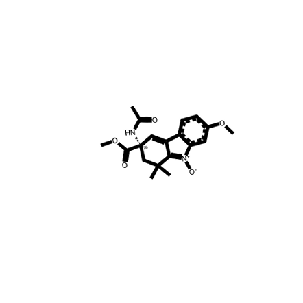 COC(=O)[C@@]1(NC(C)=O)C=C2C(=[N+]([O-])c3cc(OC)ccc32)C(C)(C)C1